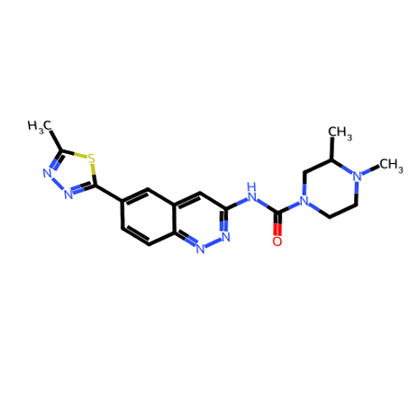 Cc1nnc(-c2ccc3nnc(NC(=O)N4CCN(C)C(C)C4)cc3c2)s1